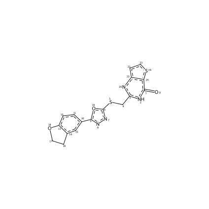 O=c1[nH]c(CSc2nnc(-c3ccc4c(c3)CCO4)o2)nc2ccsc12